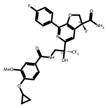 COc1cc(C(=O)NC[C@](O)(c2cc3c(c(-c4ccc(F)cc4)n2)OC[C@]3(F)C(N)=O)C(F)(F)F)ccc1OC1CC1